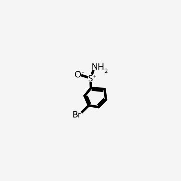 N[S+]([O-])c1cccc(Br)c1